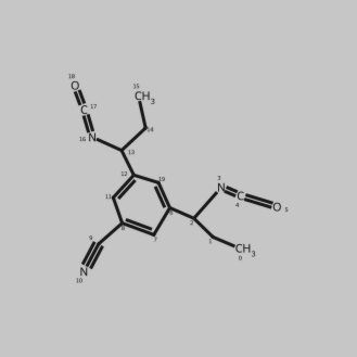 CCC(N=C=O)c1cc(C#N)cc(C(CC)N=C=O)c1